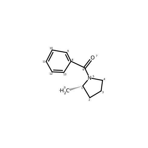 [CH2][C@H]1CCCN1C(=O)c1ccccc1